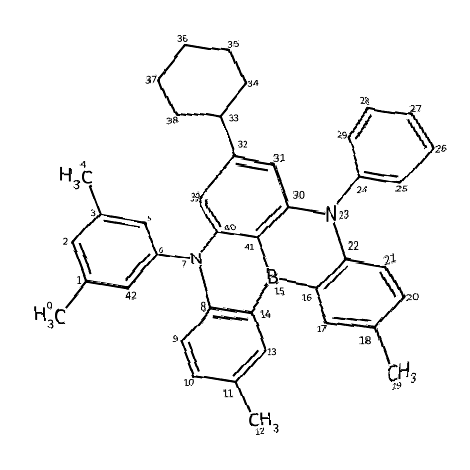 Cc1cc(C)cc(N2c3ccc(C)cc3B3c4cc(C)ccc4N(c4ccccc4)c4cc(C5CCCCC5)cc2c43)c1